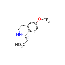 O=C(O)/C=C1\NCCc2cc(OC(F)(F)F)ccc21